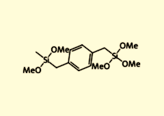 CO[Si](C)(Cc1ccc(C[Si](OC)(OC)OC)cc1)OC